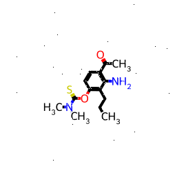 CCCc1c(OC(=S)N(C)C)ccc(C(C)=O)c1N